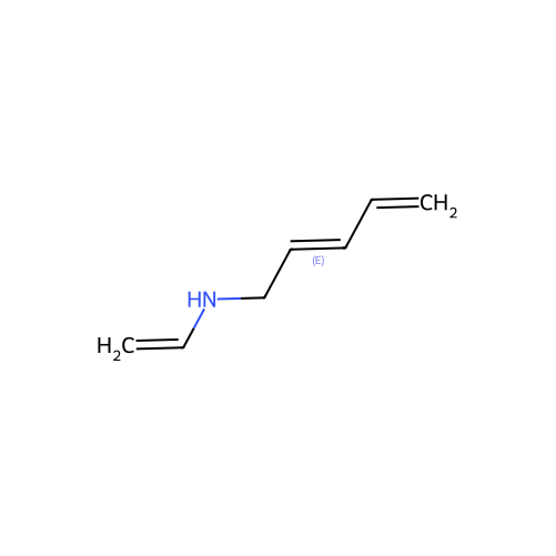 C=C/C=C/CNC=C